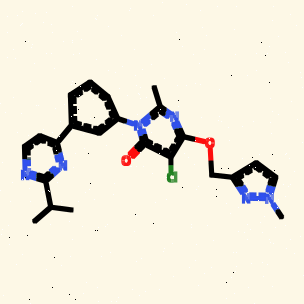 Cc1nc(OCc2ccn(C)n2)c(Cl)c(=O)n1-c1cccc(-c2ccnc(C(C)C)n2)c1